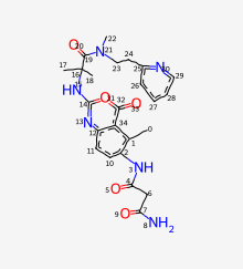 Cc1c(NC(=O)CC(N)=O)ccc2nc(NC(C)(C)C(=O)N(C)CCc3ccccn3)oc(=O)c12